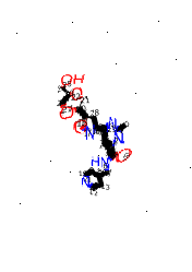 Cc1nc(C(=O)NCc2ccncc2)cc(C2=NO[C@@H]([C@H]3CO[C@H](CO)CO3)C2)n1